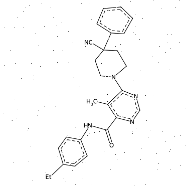 CCc1ccc(NC(=O)c2ncnc(N3CCC(C#N)(c4ccccc4)CC3)c2C)cc1